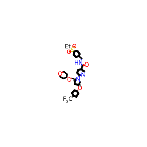 CCS(=O)(=O)c1ccc(CNC(=O)c2ccc(N3C[C@H](Oc4ccc(C(F)(F)F)cc4)C[C@H]3COC3CCOCC3)nc2)cc1